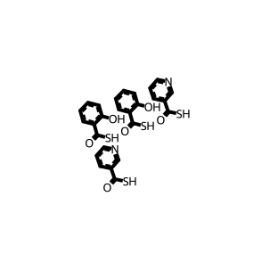 O=C(S)c1ccccc1O.O=C(S)c1ccccc1O.O=C(S)c1cccnc1.O=C(S)c1cccnc1